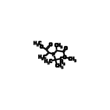 COC(=O)C(C)P(C(C)C(=O)OC)C(C)(C)C